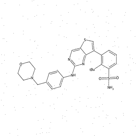 CC(C)(C)c1c(-c2csc3cnc(Nc4ccc(CN5CCOCC5)cc4)nc23)cccc1S(N)(=O)=O